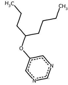 CCCCC(CCC)Oc1cn[c]nc1